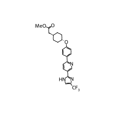 COC(=O)C[C@H]1CC[C@H](Oc2ccc(-c3ccc(-c4nc(C(F)(F)F)c[nH]4)cn3)cc2)CC1